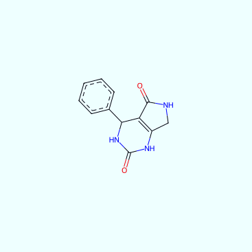 O=C1NC2=C(C(=O)NC2)C(c2ccccc2)N1